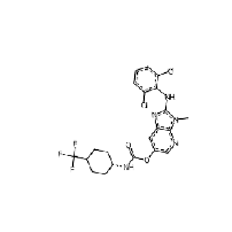 Cn1c(Nc2c(Cl)cccc2Cl)nc2cc(OC(=O)N[C@H]3CC[C@H](C(F)(F)F)CC3)cnc21